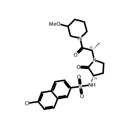 COC1CCCN(C(=O)[C@H](C)N2CC[C@H](NS(=O)(=O)c3ccc4cc(Cl)ccc4c3)C2=O)C1